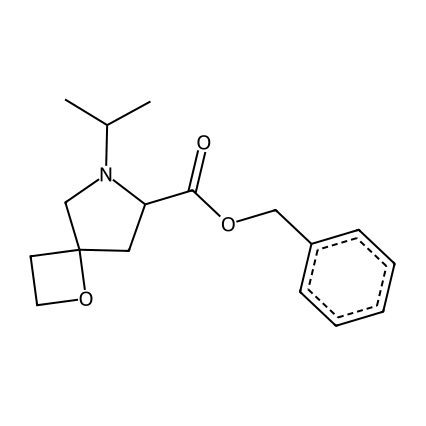 CC(C)N1CC2(CCO2)CC1C(=O)OCc1ccccc1